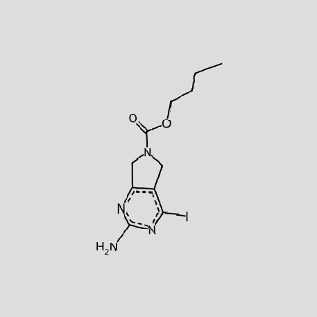 CCCCOC(=O)N1Cc2nc(N)nc(I)c2C1